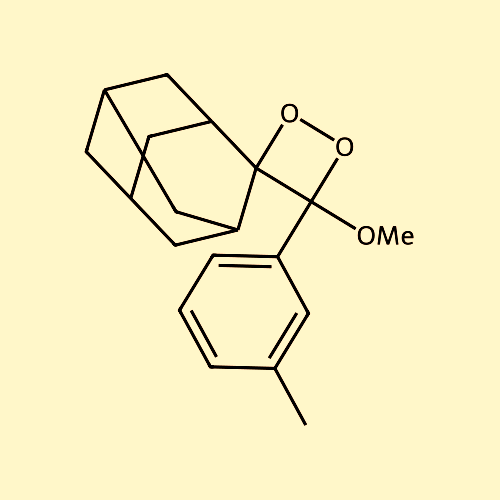 COC1(c2cccc(C)c2)OOC12C1CC3CC(C1)CC2C3